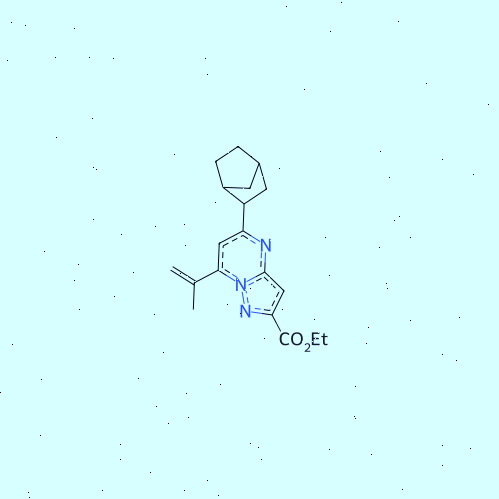 C=C(C)c1cc(C2CC3CCC2C3)nc2cc(C(=O)OCC)nn12